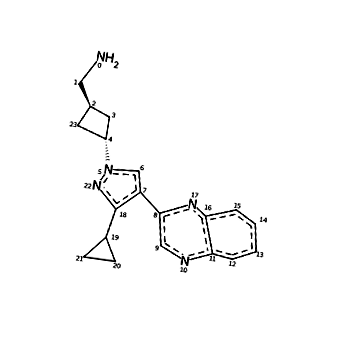 NC[C@H]1C[C@H](n2cc(-c3cnc4ccccc4n3)c(C3CC3)n2)C1